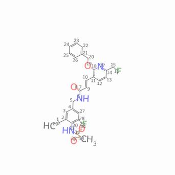 C#Cc1cc(CNC(=O)/C=C/c2ccc(CF)nc2OCc2ccccc2)cc(F)c1NS(C)(=O)=O